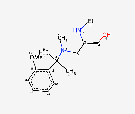 CCN[C@@H](CO)CN(C)C(C)(C)c1ccccc1OC